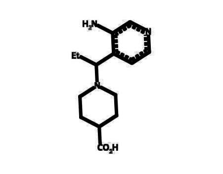 CCC(c1ccncc1N)N1CCC(C(=O)O)CC1